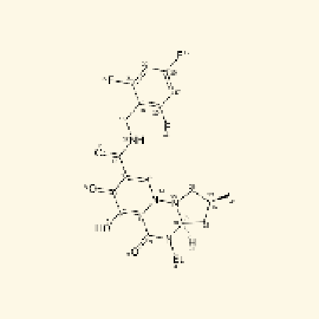 CCN1C(=O)c2c(O)c(=O)c(C(=O)NCc3c(F)cc(F)cc3F)cn2N2C[C@@H](C)C[C@@H]12